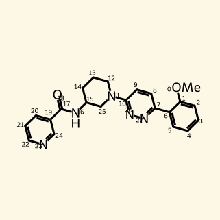 COc1ccccc1-c1ccc(N2CCCC(NC(=O)c3cccnc3)C2)nn1